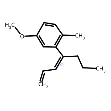 C=C/C=C(/CCC)c1cc(OC)ccc1C